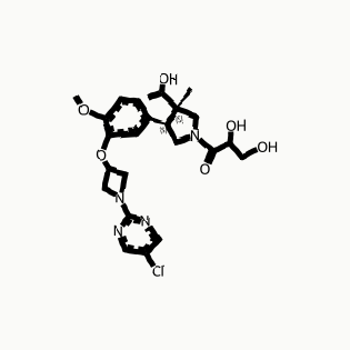 COc1ccc([C@@H]2CN(C(=O)C(O)CO)C[C@@]2(C)C(C)O)cc1OC1CN(c2ncc(Cl)cn2)C1